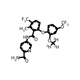 [2H]C([2H])([2H])Oc1cc(OC(F)(F)F)ccc1Oc1ccc(C(F)(F)F)c(C)c1C(=O)Nc1ccc(C(N)=O)nc1